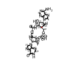 Nc1ncnc2c1ncn2[C@H]1[C@H](O)[C@@H]2O[PH](=O)OC[C@H]3O[C@@H](n4cnc5c(=O)[nH]cnc54)[C@H](F)[C@@H]3OP(=O)(O)OC[C@]23CC[C@H]13